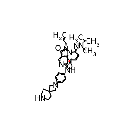 C=CCn1c(=O)c2cnc(Nc3ccc(N4CC5(CCNCC5)C4)cc3)nc2n1C(/C=C\C=O)=N/N(C)C(C)C